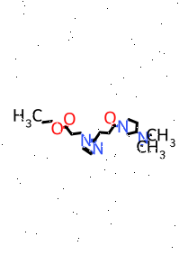 CCCOC(=O)CCn1ccnc1CCC(=O)N1CC[C@H](N(C)C)C1